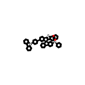 c1ccc(N(c2ccccc2)c2ccc3c(c2)C2(c4ccccc4-3)c3cc(-c4ccc(-n5c6ccccc6c6ccccc65)cc4)ccc3-c3sc4ccccc4c32)cc1